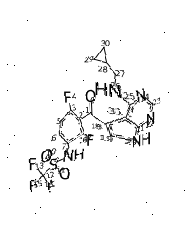 O=C(c1c(F)ccc(NS(=O)(=O)C(F)(F)F)c1F)c1c[nH]c2ncnc(NCC3CC3)c12